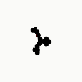 c1ccc(C2(c3ccccc3)c3ccccc3-c3cc(N(c4ccc(-c5ccc(-c6ccc7sc8ccccc8c7c6)cc5)cc4)c4ccc(-c5ccc(-c6cccc7c6oc6ccccc67)cc5)cc4)ccc32)cc1